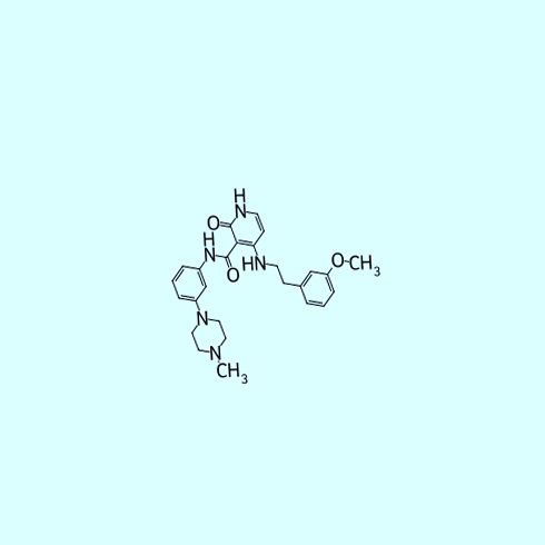 COc1cccc(CCNc2cc[nH]c(=O)c2C(=O)Nc2cccc(N3CCN(C)CC3)c2)c1